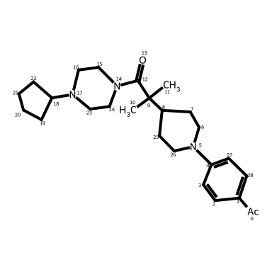 CC(=O)c1ccc(N2CCC(C(C)(C)C(=O)N3CCN(C4CCCC4)CC3)CC2)cc1